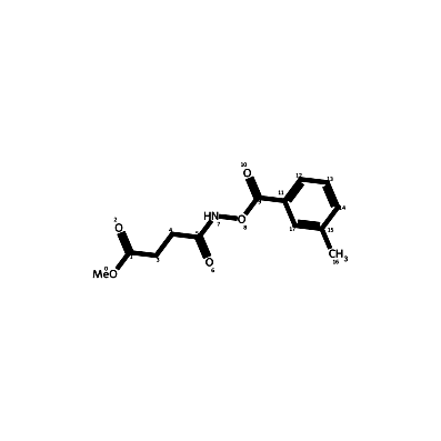 COC(=O)CCC(=O)NOC(=O)c1cccc(C)c1